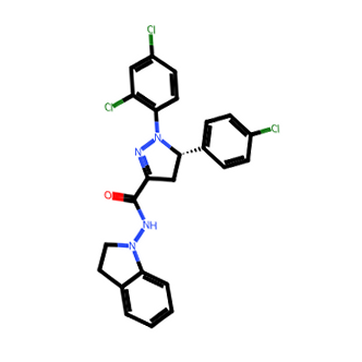 O=C(NN1CCc2ccccc21)C1=NN(c2ccc(Cl)cc2Cl)[C@H](c2ccc(Cl)cc2)C1